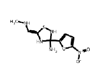 CNC=C1NC(N)(c2ccc([N+](=O)[O-])o2)NS1